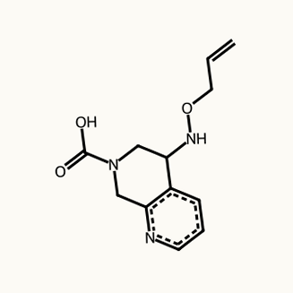 C=CCONC1CN(C(=O)O)Cc2ncccc21